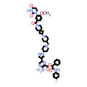 COc1ccc(C(=O)N2CCC3(CC2)CC(N2CCC(CN4CCC(n5cc(-c6cnc(N)c(C(=O)O[C@@H](C(=O)Nc7ccc(F)cc7)c7ccccc7)n6)cn5)CC4)CC2)C3)cc1N1CCC(=O)NC1=O